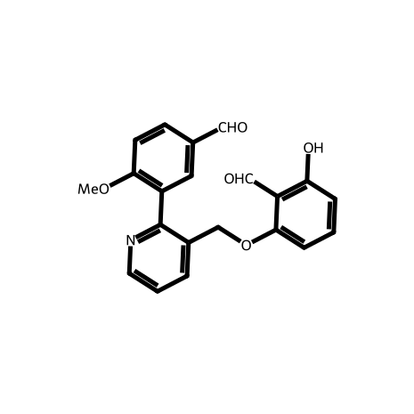 COc1ccc(C=O)cc1-c1ncccc1COc1cccc(O)c1C=O